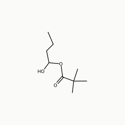 CCCC(O)OC(=O)C(C)(C)C